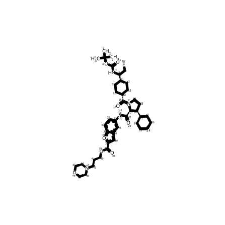 CC(C)(C)OC(=O)NC(CF)[C@H]1CC[C@H](C(=O)N2CC[C@@H](C3CCCCC3)[C@H]2C(=O)Nc2ccc3oc(C(=O)OCCCN4CCOCC4)cc3c2)CC1